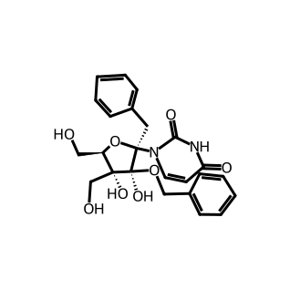 O=c1ccn([C@]2(Cc3ccccc3)O[C@H](CO)[C@](O)(CO)[C@]2(O)OCc2ccccc2)c(=O)[nH]1